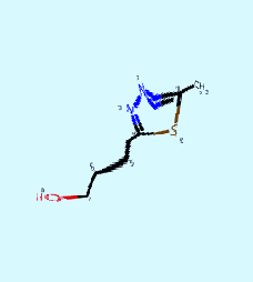 Cc1nnc(CCCO)s1